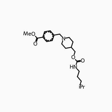 COC(=O)c1ccc(CN2CCC(COC(=O)NCCCC(C)C)CC2)cc1